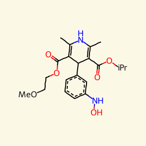 COCCOC(=O)C1=C(C)NC(C)=C(C(=O)OC(C)C)C1c1cccc(NO)c1